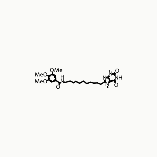 COc1cc(C(=O)NCCCCCCCCCCCc2nc3c(c(=O)[nH]c(=O)n3C)n2C)cc(OC)c1OC